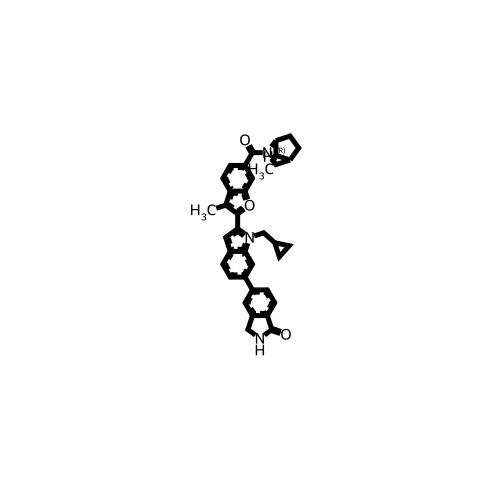 Cc1c(-c2cc3ccc(-c4ccc5c(c4)CNC5=O)cc3n2CC2CC2)oc2cc(C(=O)N3CC4CCC3[C@@H]4C)ccc12